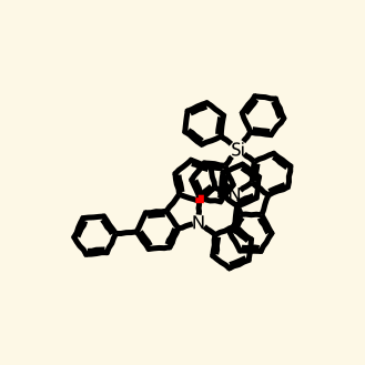 c1ccc(-c2ccc3c(c2)c2cccc(-n4c5ccccc5c5cccc([Si](c6ccccc6)(c6ccccc6)c6ccccc6)c54)c2n3-c2ccccc2-c2ccccc2)cc1